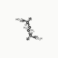 Cc1c(COc2cc(OCc3nccs3)c(CNC[C@@H](O)CC(=O)O)cc2Cl)cccc1-c1cccc(COc2cc(OCc3nccs3)c(CNC[C@@H](O)CC(=O)O)cc2Cl)c1C